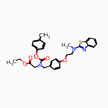 CCOC(=O)CN(Cc1ccc(OCCN(C)c2nc3ccccc3s2)cc1)C(=O)Oc1ccc(C)cc1